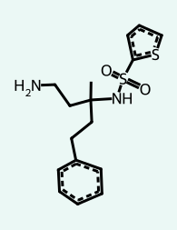 CC(CCN)(CCc1ccccc1)NS(=O)(=O)c1cccs1